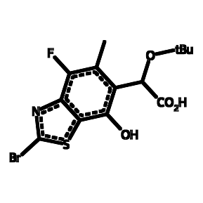 Cc1c(C(OC(C)(C)C)C(=O)O)c(O)c2sc(Br)nc2c1F